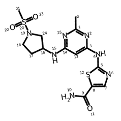 Cc1nc(Nc2ncc(C(N)=O)s2)cc(NC2CCN(S(C)(=O)=O)C2)n1